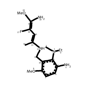 CCN(C)c1c(N)ccc(OC)c1CN/C(C)=C/C(F)=C(\N)OC